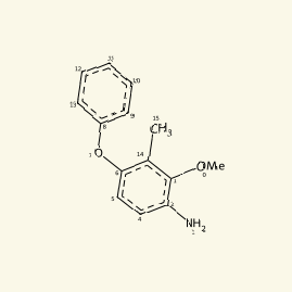 COc1c(N)ccc(Oc2ccccc2)c1C